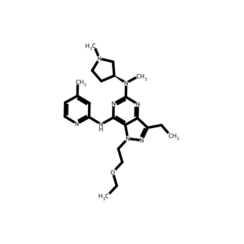 CCOCCn1nc(CC)c2nc(N(C)[C@H]3CCN(C)C3)nc(Nc3cc(C)ccn3)c21